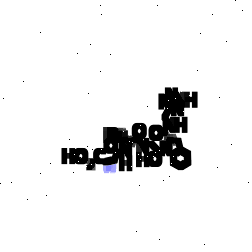 CC[C@H](C)[C@H](NC(=O)/C=C\C(=O)O)C(=O)NCC(=O)N1c2ccccc2C[C@H]1C(=O)NCc1nn[nH]n1